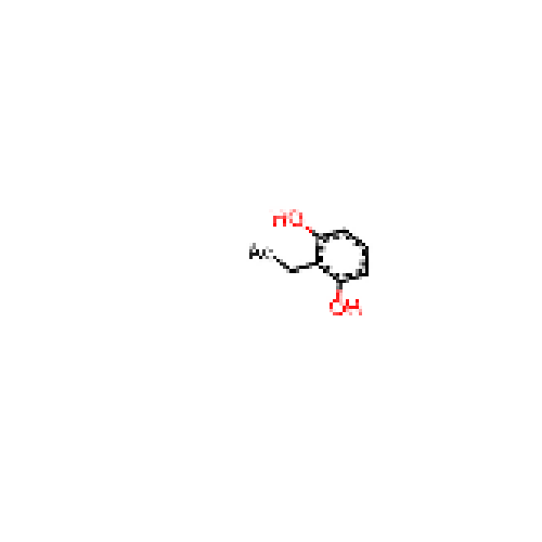 CC(=O)Cc1c(O)cccc1O